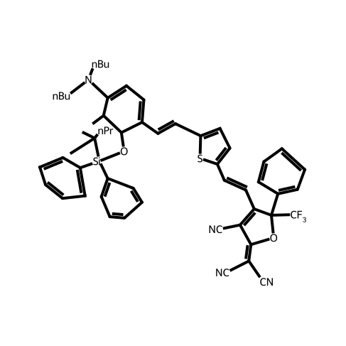 CCCCN(CCCC)C1=CC=C(/C=C/c2ccc(/C=C/C3=C(C#N)C(=C(C#N)C#N)OC3(c3ccccc3)C(F)(F)F)s2)C(O[Si](c2ccccc2)(c2ccccc2)C(C)(C)CCC)C1C